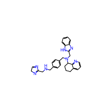 C1=NC(CNCc2ccc(CN(Cc3nc4ccccc4[nH]3)C3CCCc4cccnc43)cc2)=NC1